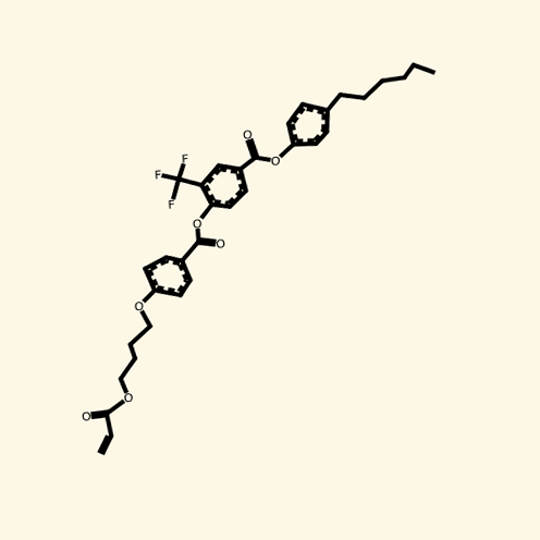 C=CC(=O)OCCCCOc1ccc(C(=O)Oc2ccc(C(=O)Oc3ccc(CCCCCC)cc3)cc2C(F)(F)F)cc1